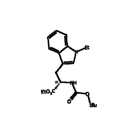 CCOC(=O)[C@H](Cc1cn(CC)c2ccccc12)NC(=O)OC(C)(C)C